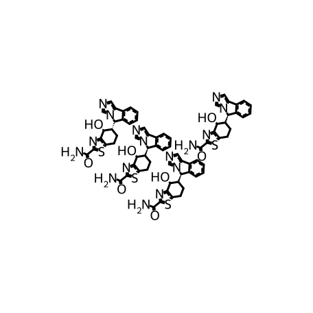 NC(=O)c1nc2c(s1)CCC([C@@H]1c3ccccc3-c3cncn31)C2O.NC(=O)c1nc2c(s1)CCC([C@@H]1c3ccccc3-c3cncn31)C2O.NC(=O)c1nc2c(s1)CCC([C@@H]1c3ccccc3-c3cncn31)C2O.NC(=O)c1nc2c(s1)CC[C@@H](C1c3ccccc3-c3cncn31)[C@H]2O